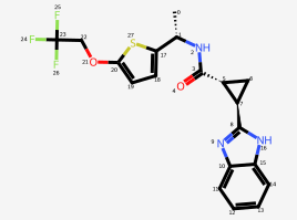 C[C@H](NC(=O)[C@@H]1C[C@H]1c1nc2ccccc2[nH]1)c1ccc(OCC(F)(F)F)s1